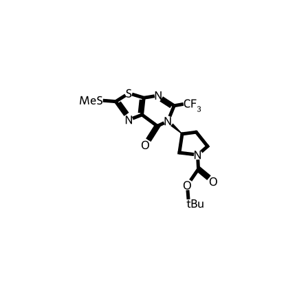 CSc1nc2c(=O)n([C@H]3CCN(C(=O)OC(C)(C)C)C3)c(C(F)(F)F)nc2s1